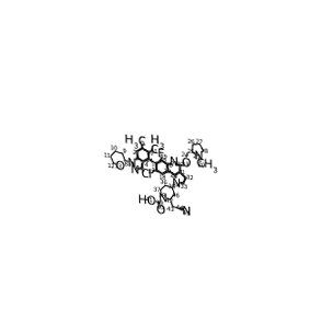 Cc1cc2c(cnn2C2CCCCO2)c(-c2c(Cl)cc3c(nc(OC[C@@H]4CCCN4C)c4ccn([C@H]5CCN(C(=O)O)[C@H](CC#N)C5)c43)c2F)c1C